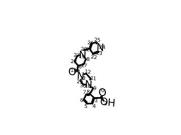 O=C(O)c1ccccc1CN1CCN(C(=O)C2CCN(Cc3ccncc3)CC2)CC1